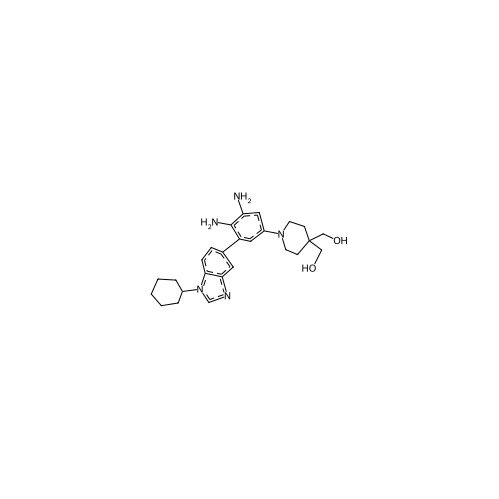 Nc1cc(N2CCC(CO)(CO)CC2)cc(-c2ccc3c(c2)ncn3C2CCCCC2)c1N